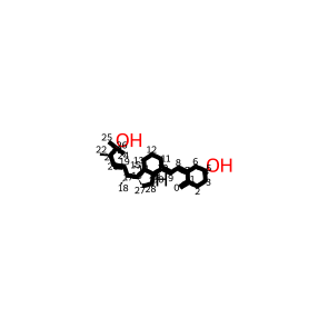 C=C1CC[C@H](O)C/C1=C/C=C1\CCC[C@]2(C)[C@@H]([C@H](C)/C=C/[C@@H](C)C(C)(C)O)CC[C@@H]12